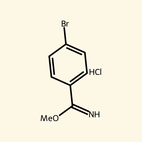 COC(=N)c1ccc(Br)cc1.Cl